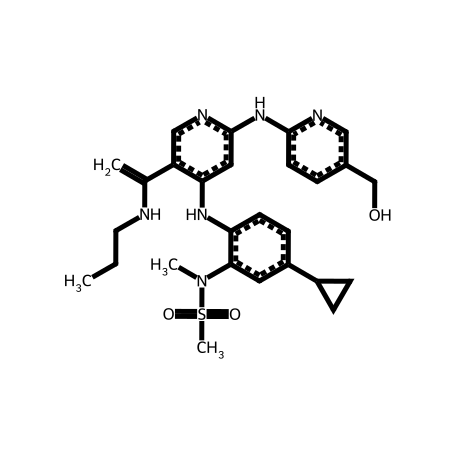 C=C(NCCC)c1cnc(Nc2ccc(CO)cn2)cc1Nc1ccc(C2CC2)cc1N(C)S(C)(=O)=O